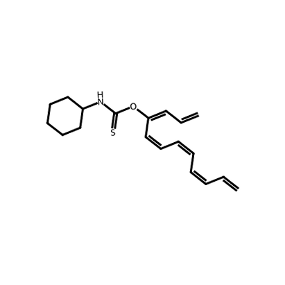 C=C\C=C/C=C\C=C/C(=C\C=C)OC(=S)NC1CCCCC1